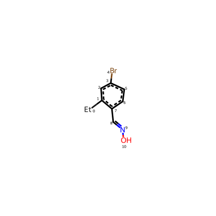 CCc1cc(Br)ccc1C=NO